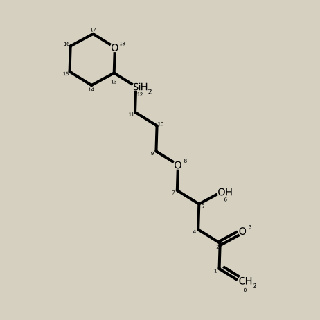 C=CC(=O)CC(O)COCCC[SiH2]C1CCCCO1